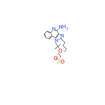 CCCCc1nc2c(N)nc3ccccc3c2n1CC(C)(C)OCCS(C)(=O)=O